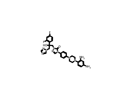 Nc1ccc(N2CCN(c3ccc(-n4cnn(CC(O)(Cn5cncn5)c5ccc(F)cc5F)c4=O)cc3)CC2)c(N)c1